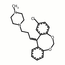 CN1CCN(CCC=C2c3ccccc3OCOc3ccc(Cl)cc32)CC1